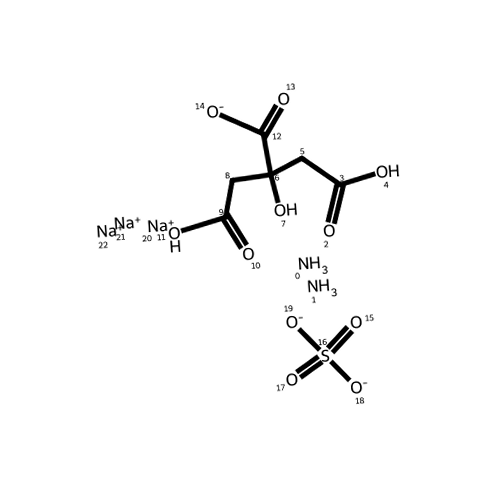 N.N.O=C(O)CC(O)(CC(=O)O)C(=O)[O-].O=S(=O)([O-])[O-].[Na+].[Na+].[Na+]